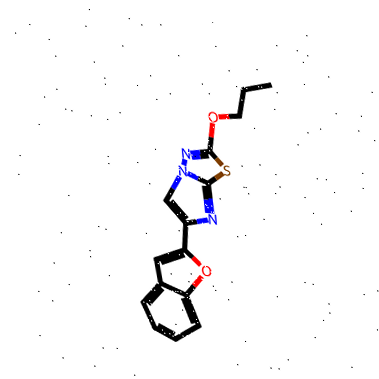 CCCOc1nn2cc(-c3cc4ccccc4o3)nc2s1